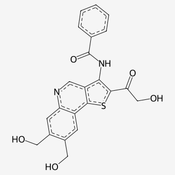 O=C(Nc1c(C(=O)CO)sc2c1cnc1cc(CO)c(CO)cc12)c1ccccc1